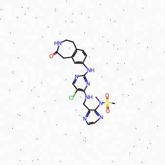 CN(c1nccnc1CNc1nc(Nc2ccc3c(c2)CC(=O)NCC3)ncc1Cl)S(C)(=O)=O